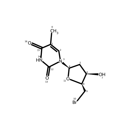 Cc1cn([C@H]2C[C@@H](O)[C@@H](CBr)O2)c(=O)[nH]c1=O